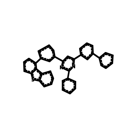 c1ccc(-c2cccc(-c3cc(-c4cccc(-c5cccc6sc7ccccc7c56)c4)nc(-c4ccccc4)n3)c2)cc1